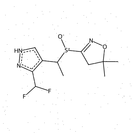 CC(c1c[nH]nc1C(F)F)[S+]([O-])C1=NOC(C)(C)C1